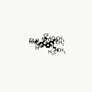 CCNC(=O)Nc1cc(-c2nc(C(F)(F)F)cs2)c(-c2ccc3c(c2)c(=O)c(C(=O)N(C)C)cn3CCN(C)C)cn1